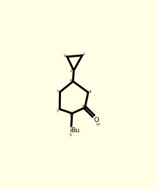 CCC(C)C1CCC(C2CC2)CC1=O